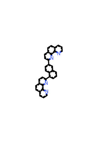 c1cc(-c2ccc3ccc4cccnc4c3n2)c2ccc(-c3ccc4ccc5cccnc5c4n3)cc2c1